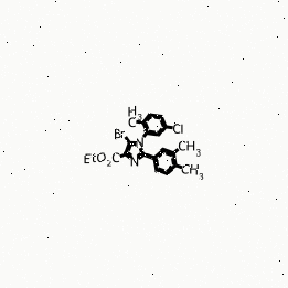 CCOC(=O)c1nc(-c2ccc(C)c(C)c2)n(-c2cc(Cl)ccc2C)c1Br